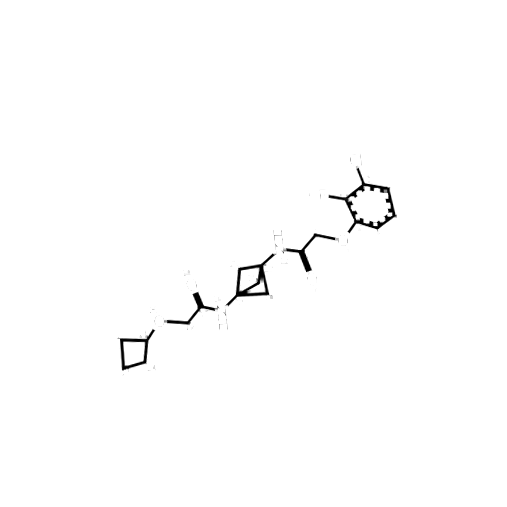 O=C(COc1cccc(Cl)c1F)NC12CC(NC(=O)COC3CCC3)(C1)C2